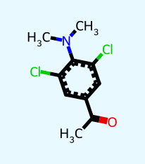 CC(=O)c1cc(Cl)c(N(C)C)c(Cl)c1